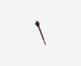 CCCCCCCCCCCCCCCCCCCCCCCCCCCCCCCCCCOc1ccc2c(c1)C(Br)(c1cccc(F)c1)c1ccccc1-2